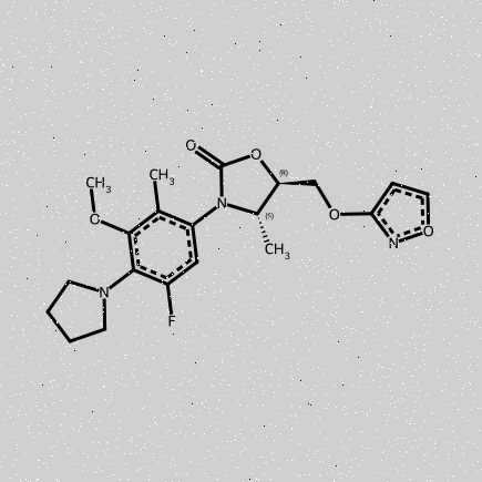 COc1c(C)c(N2C(=O)O[C@@H](COc3ccon3)[C@@H]2C)cc(F)c1N1CCCC1